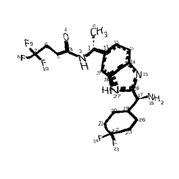 C[C@@H](NC(=O)CCC(F)(F)F)c1ccc2nc([C@@H](N)C3CCC(F)(F)CC3)[nH]c2c1